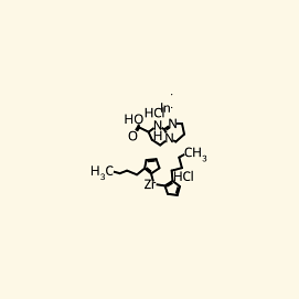 CCCCC1=[C]([Zr][C]2=C(CCCC)C=CC2)CC=C1.Cl.Cl.O=C(O)C1CCN2CCCN=C2N1.[In]